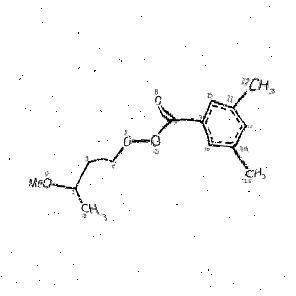 COC(C)C[CH]OOC(=O)c1cc(C)cc(C)c1